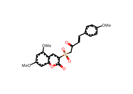 COc1ccc(C=CC(=O)CS(=O)(=O)c2cc3c(OC)cc(OC)cc3oc2=O)cc1